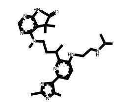 Cc1nc(C)c(-c2ccc(NCCNC(C)C)c(C(C)CCN(C)c3ncnc4c3C(C)(C)C(=O)N4)n2)s1